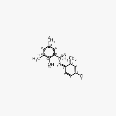 C=C1C=C(Cl)C=C/C1=N/N(N)c1cc(C)cc(C)c1O